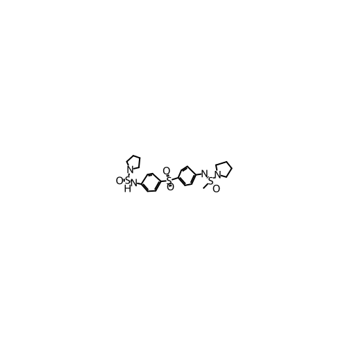 CS(=O)(=Nc1ccc(S(=O)(=O)c2ccc(/N=[SH](=O)\N3CCCC3)cc2)cc1)N1CCCC1